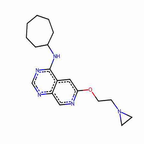 c1nc(NC2CCCCCC2)c2cc(OCCN3CC3)ncc2n1